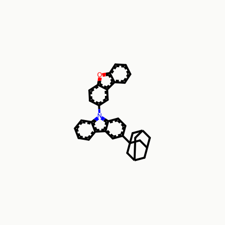 c1ccc2c(c1)oc1ccc(-n3c4ccccc4c4cc(C56CC7CC(CC(C7)C5)C6)ccc43)cc12